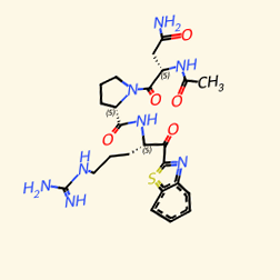 CC(=O)N[C@@H](CC(N)=O)C(=O)N1CCC[C@H]1C(=O)N[C@@H](CCCNC(=N)N)C(=O)c1nc2ccccc2s1